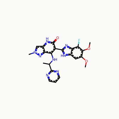 COc1cc2[nH]c(-c3c(NC(C)c4ncccn4)c4nn(C)cc4[nH]c3=O)nc2c(F)c1OC